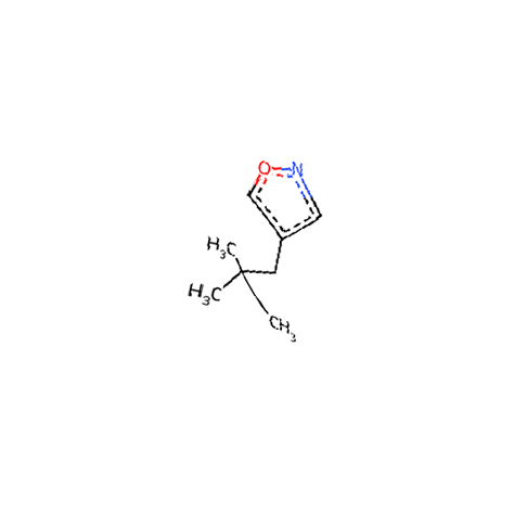 CC(C)(C)Cc1cnoc1